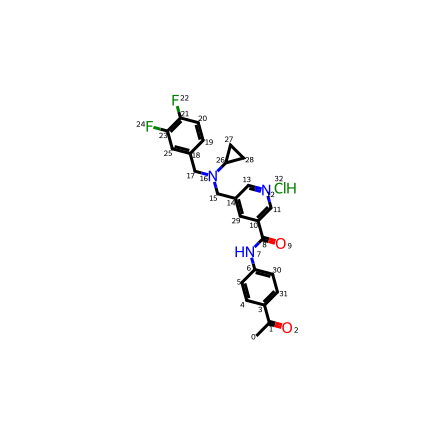 CC(=O)c1ccc(NC(=O)c2cncc(CN(Cc3ccc(F)c(F)c3)C3CC3)c2)cc1.Cl